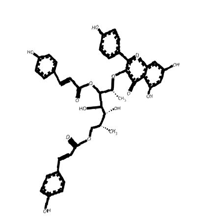 C[C@H](COC(=O)/C=C/c1ccc(O)cc1)[C@@H](O)C(O)C(OC(=O)/C=C/c1ccc(O)cc1)[C@@H](C)Oc1c(-c2ccc(O)cc2)oc2cc(O)cc(O)c2c1=O